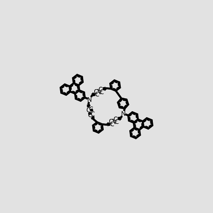 c1ccc2c(c1)-c1ccc(cc1)N(c1ccc3c4ccccc4c4ccccc4c3c1)c1ccc(cc1)-c1ccccc1-c1ccc(cc1)N(c1ccc3c4ccccc4c4ccccc4c3c1)c1ccc-2cc1